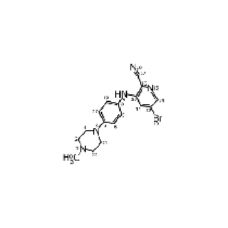 CN1CCN(c2ccc(Nc3cc(Br)cnc3C#N)cc2)CC1